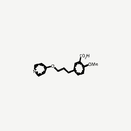 COc1ccc(CCCOc2ccncc2)cc1C(=O)O